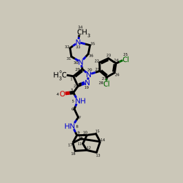 Cc1c(C(=O)NCCNC2C3CC4CC(C3)CC2C4)nn(-c2ccc(Cl)cc2Cl)c1N1CCN(C)CC1